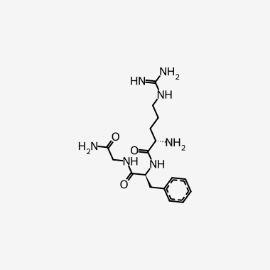 N=C(N)NCCC[C@H](N)C(=O)N[C@@H](Cc1ccccc1)C(=O)NCC(N)=O